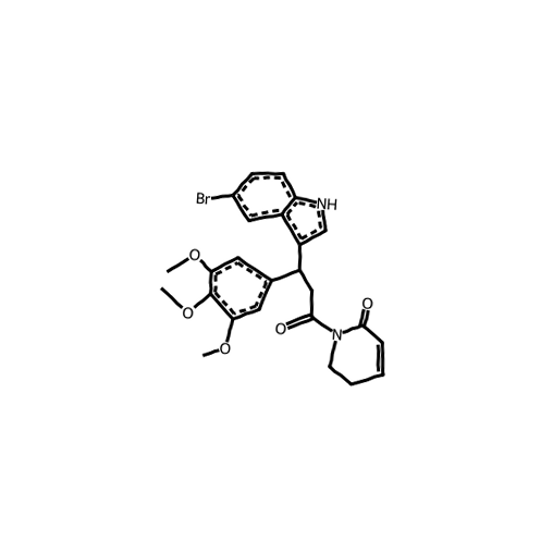 COc1cc(C(CC(=O)N2CCC=CC2=O)c2c[nH]c3ccc(Br)cc23)cc(OC)c1OC